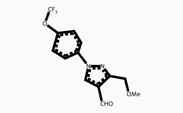 COCc1nn(-c2ccc(OC(F)(F)F)cc2)cc1C=O